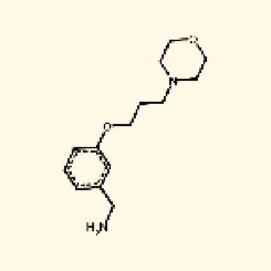 NCc1cccc(OCCCN2CCOCC2)c1